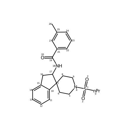 CCCS(=O)(=O)N1CCC2(CC1)c1ccccc1CC2NC(=O)c1cccc(C)c1